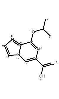 CC(C)Oc1nc(C(=O)O)cn2ccnc12